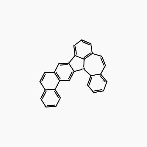 C1=Cc2cccc3c4cc5ccc6ccccc6c5cc4n(c23)-c2ccccc21